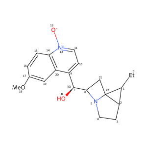 CCC1C2CCN3C([C@@H](O)c4cc[n+]([O-])c5ccc(OC)cc45)CC123